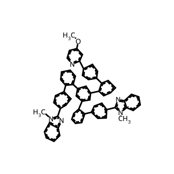 COc1ccnc(-c2ccc(-c3ccccc3-c3cc(-c4ccccc4-c4ccc(-c5nc6ccccc6n5C)cc4)cc(-c4ccccc4-c4ccc(-c5nc6ccccc6n5C)cc4)c3)cc2)c1